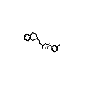 Cc1cccc(S(=O)(=O)CC(C)CCN2CCc3ccccc3C2)c1